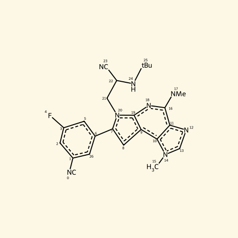 [C-]#[N+]c1cc(F)cc(-c2cc3c4c(ncn4C)c(NC)nc3n2CC(C#N)NC(C)(C)C)c1